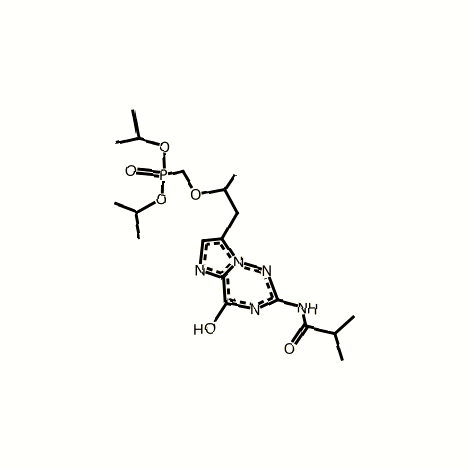 CC(C)OP(=O)(COC(C)Cc1cnc2c(O)nc(NC(=O)C(C)C)nn12)OC(C)C